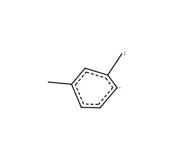 [CH]c1[c]ccc(C)c1